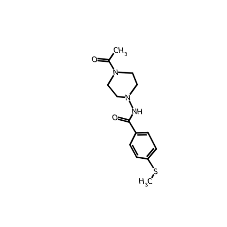 CSc1ccc(C(=O)NN2CCN(C(C)=O)CC2)cc1